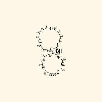 B(C1CCCCCCCCCCCCCCC1)C1CCCCCCCCCCCCCC1